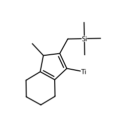 CC1C(C[Si](C)(C)C)=[C]([Ti])C2=C1CCCC2